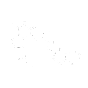 CC(Cn1c2c(c(=O)[nH]c1=S)NCN2OC(=O)C(F)(F)F)NCc1ccc2ccccc2n1